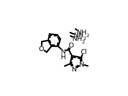 CN.CN.CN.Cc1nn(C)c(Cl)c1C(=O)Nc1cccc2c1COC2